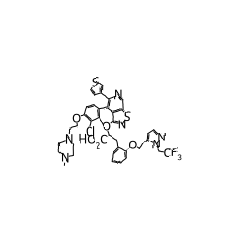 Cc1c(-c2c(-c3ccsc3)ncc3snc(O[C@H](Cc4ccccc4OCc4ccnn4CC(F)(F)F)C(=O)O)c23)ccc(OCCN2CCN(C)CC2)c1Cl